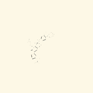 CC(C)[S+]([O-])c1cccc(-c2cc3cnc(Nc4ccc(N5CCNCC5)c(Cl)c4)nc3n(CCN(C)C)c2=O)c1